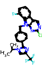 CC(C)n1cc(C(F)(F)F)nc1-c1ccc(Cn2c3nc(Cl)ncc3c3cccc(F)c32)cc1